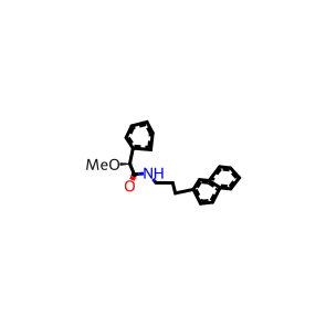 CO[C@H](C(=O)NCCCc1ccc2ccccc2c1)c1ccccc1